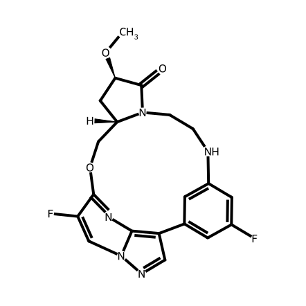 CO[C@@H]1C[C@H]2COc3nc4c(cnn4cc3F)-c3cc(F)cc(c3)NCCN2C1=O